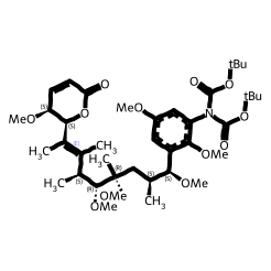 COc1cc([C@@H](OC)[C@@H](C)C[C@@](C)(OC)[C@H](OC)[C@@H](C)/C(C)=C(\C)[C@@H]2OC(=O)C=C[C@@H]2OC)c(OC)c(N(C(=O)OC(C)(C)C)C(=O)OC(C)(C)C)c1